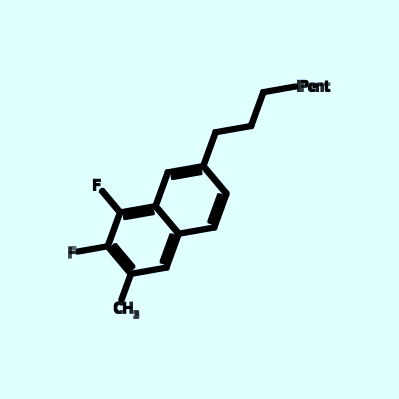 CCCC(C)CCCc1ccc2cc(C)c(F)c(F)c2c1